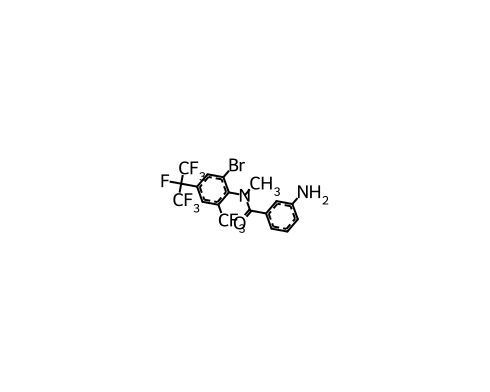 CN(C(=O)c1cccc(N)c1)c1c(Br)cc(C(F)(C(F)(F)F)C(F)(F)F)cc1C(F)(F)F